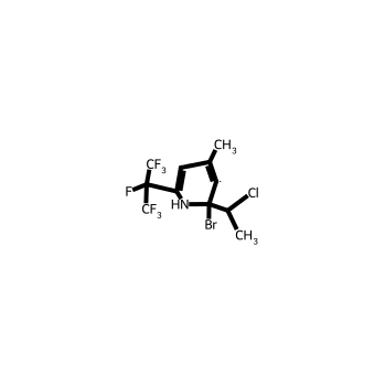 CC1=[C]C(Br)(C(C)Cl)NC(C(F)(C(F)(F)F)C(F)(F)F)=C1